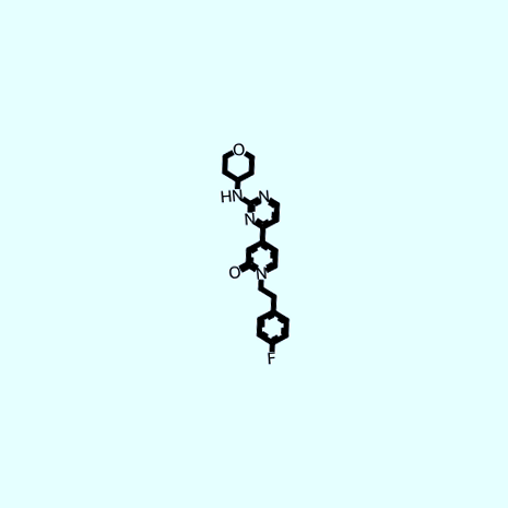 O=c1cc(-c2ccnc(NC3CCOCC3)n2)ccn1CCc1ccc(F)cc1